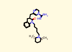 C[C@@H]1CCC[C@H](C)N1CCCCCN1C(=O)C(CC2=CN(C(=N)N)CC=N2)Cc2ccccc21